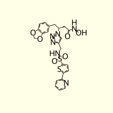 O=C(C[C@H](Cc1ccc2c(c1)OCO2)n1cc(CNS(=O)(=O)c2ccc(-c3ccccn3)s2)nn1)NO